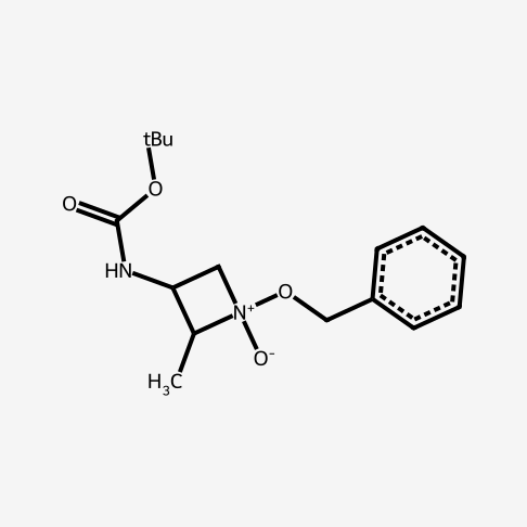 CC1C(NC(=O)OC(C)(C)C)C[N+]1([O-])OCc1ccccc1